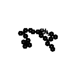 CC1(C)c2ccc(-c3ccc4cc(-c5cccc(N(c6ccccc6)c6ccc(-c7ccc8c(c7)C(c7ccccc7)(c7ccccc7)c7ccccc7-8)cc6)c5)ccc4c3)cc2-c2ccc(-c3ccc(N(c4cccc(-c5ccc6ccccc6c5)c4)c4cccc(-c5ccccc5-c5ccccc5)c4)cc3)cc21